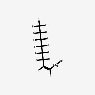 F[C]([Mg][Br])=C(F)C(F)(F)C(F)(F)C(F)(F)C(F)(F)C(F)(F)C(F)(F)F